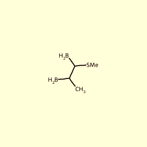 BC(C)C(B)SC